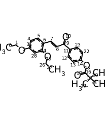 CCOc1ccc(C=CC(=O)c2ccc(OC(=O)C(C)(C)C)cc2)c(OCC)c1